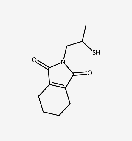 CC(S)CN1C(=O)C2=C(CCCC2)C1=O